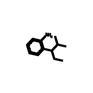 CCC(c1ccccc1N)C(C)C